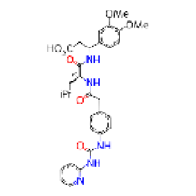 COc1ccc(C(CC(=O)O)NC(=O)[C@H](CC(C)C)NC(=O)Cc2ccc(NC(=O)Nc3ccccn3)cc2)cc1OC